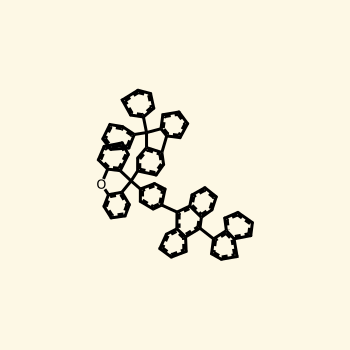 c1ccc(C2(c3ccccc3)c3ccccc3-c3ccc(C4(c5ccc(-c6c7ccccc7c(-c7cccc8ccccc78)c7ccccc67)cc5)c5ccccc5Oc5ccccc54)cc32)cc1